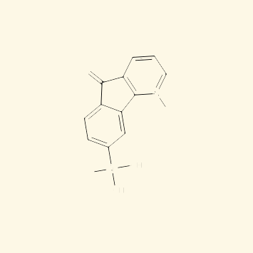 [CH3][Sn]([CH3])([CH3])[c]1ccc2c(c1)-c1c(ccc[n+]1[O-])C2=O